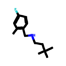 Cc1cc(F)ccc1CNCCC(C)(C)C